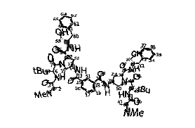 CN[C@@H](C)C(=O)NC(C(=O)N1C[C@@H](NC(=O)c2cccc(C(=O)N[C@H]3CC(C(=O)N[C@H](CO)Cc4ccccc4)N(C(=O)[C@@H](NC(=O)[C@H](C)NC)C(C)(C)C)C3)c2)C[C@H]1C(=O)N[C@H](CO)Cc1ccccc1)C(C)(C)C